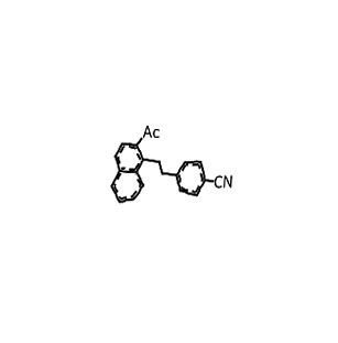 CC(=O)c1ccc2ccccc2c1CCc1ccc(C#N)cc1